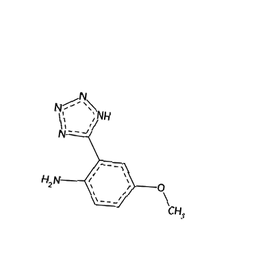 COc1ccc(N)c(-c2nnn[nH]2)c1